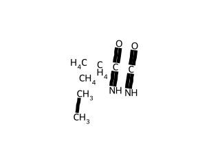 C.C.C.CC.N=C=O.N=C=O